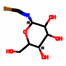 OCC1O[C@@H](N=C=S)C(O)C(O)[C@@H]1O